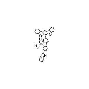 CC1(C)c2cc(-c3cn4ccccc4n3)ccc2-c2ccc(-c3c4oc5ccccc5c4cc4c3oc3ccccc34)cc21